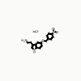 Cl.NCCc1c[nH]c2ccc(OCc3ccc([N+](=O)[O-])cc3)cc12